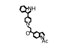 CC(=O)n1ccc2cc(C(=O)CCN3CC=C(c4c[nH]c5ccccc45)CC3)ccc21